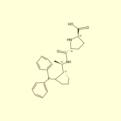 C[C@@H](NC(=O)[C@H]1CC[C@H](C(=O)O)N1)[C@@H]1CCCC1P(c1ccccc1)c1ccccc1